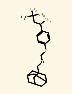 CC(CC(C)(C)C)c1ccc(OCOCC23CC4CC(CC(C4)C2)C3)cc1